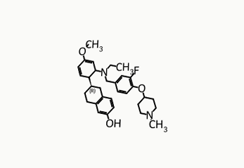 CCN(Cc1ccc(OC2CCN(C)CC2)c(F)c1)C1C=C(OC)C=CC1[C@@H]1CCc2cc(O)ccc2C1